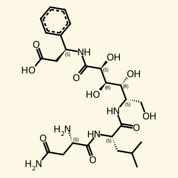 CC(C)C[C@H](NC(=O)[C@@H](N)CC(N)=O)C(=O)N[C@@H](CO)[C@@H](O)[C@@H](O)[C@H](O)C(=O)N[C@@H](CC(=O)O)c1ccccc1